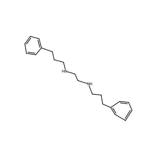 c1ccc(CCCNCCNCCCc2ccccc2)cc1